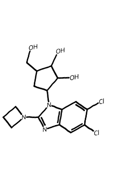 OCC1CC(n2c(N3CCC3)nc3cc(Cl)c(Cl)cc32)C(O)C1O